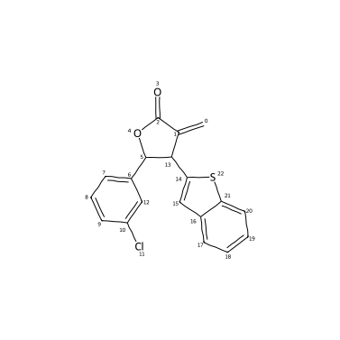 C=C1C(=O)OC(c2cccc(Cl)c2)C1c1cc2ccccc2s1